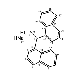 O=S(=O)(O)C(c1cccc2ccccc12)c1cccc2ccccc12.[NaH]